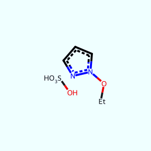 CCOn1cccn1.O=S(=O)(O)O